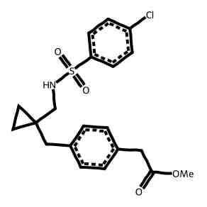 COC(=O)Cc1ccc(CC2(CNS(=O)(=O)c3ccc(Cl)cc3)CC2)cc1